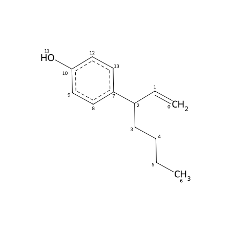 C=CC(CCCC)c1ccc(O)cc1